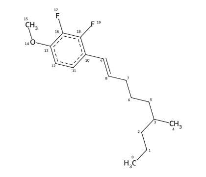 CCCC(C)CCC/C=C/c1ccc(OC)c(F)c1F